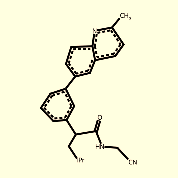 Cc1ccc2cc(-c3cccc(C(CC(C)C)C(=O)NCC#N)c3)ccc2n1